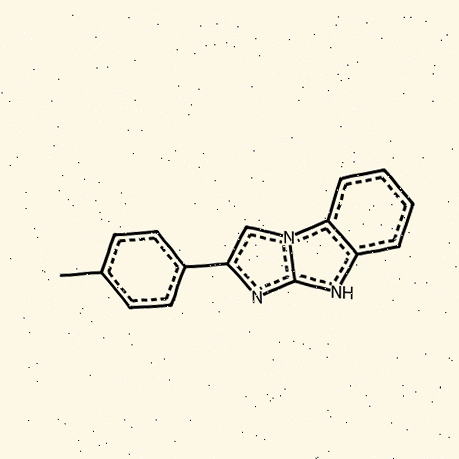 Cc1ccc(-c2cn3c(n2)[nH]c2ccccc23)cc1